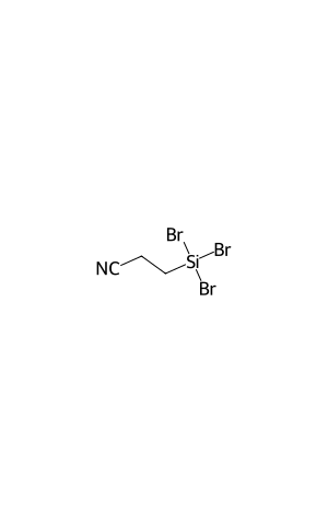 N#CCC[Si](Br)(Br)Br